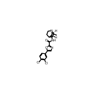 C[C@H]1[C@H](NC(=O)c2ncc(-c3ccc(Cl)c(Cl)c3)o2)C2CCN1CC2